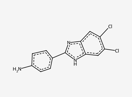 Nc1ccc(-c2nc3cc(Cl)c(Cl)cc3[nH]2)cc1